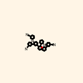 N#Cc1cccc(-n2c3ccc(C#N)cc3c3cc(-c4ccccc4-c4ccccc4-n4c5ccccc5c5cc(C#N)ccc54)ccc32)c1